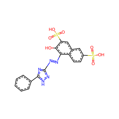 O=S(=O)(O)c1ccc2c(N=Nc3n[nH]c(-c4ccccc4)n3)c(O)c(S(=O)(=O)O)cc2c1